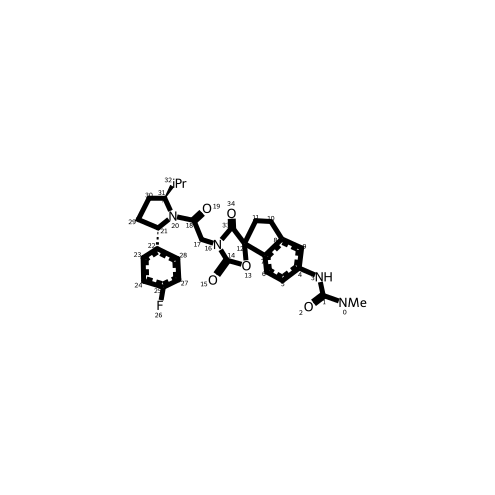 CNC(=O)Nc1ccc2c(c1)CCC21OC(=O)N(CC(=O)N2[C@H](c3ccc(F)cc3)CC[C@H]2C(C)C)C1=O